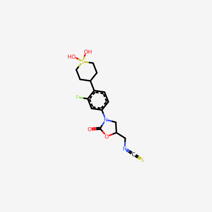 O=C1OC(CN=C=S)CN1c1ccc(C2CCS(O)(O)CC2)c(F)c1